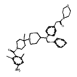 Cc1cc(N)cc(C)c1C(=O)N1CCC(C)(N2CCC(N(Cc3ccccc3)c3ccc(CC(=O)N4CCOCC4)cc3)CC2)CC1